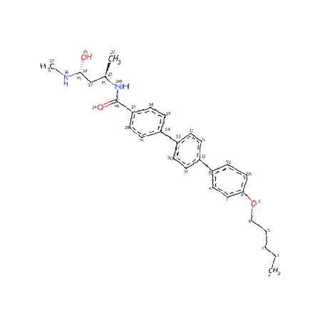 CCCCCOc1ccc(-c2ccc(-c3ccc(C(=O)N[C@H](C)C[C@@H](O)NC)cc3)cc2)cc1